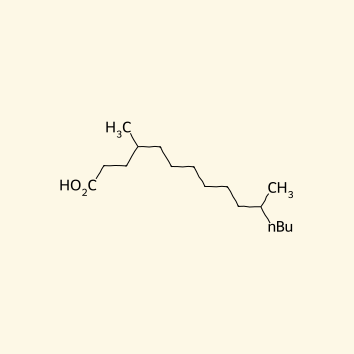 CCCCC(C)CCCCCCC(C)CCC(=O)O